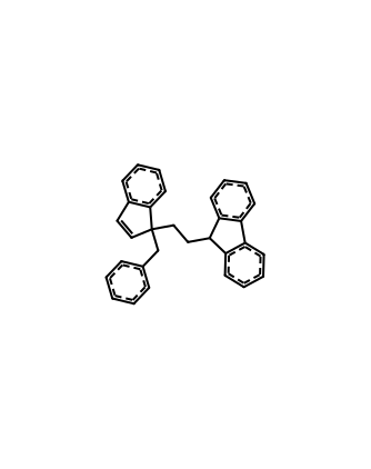 C1=CC(CCC2c3ccccc3-c3ccccc32)(Cc2ccccc2)c2ccccc21